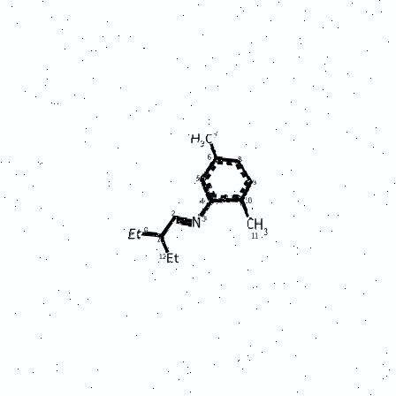 CCC(/C=N/c1cc(C)ccc1C)CC